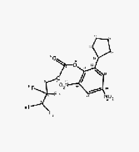 O=C(OCC(F)(F)C(F)F)Oc1c(C2CCCC2)cc([N+](=O)[O-])cc1[N+](=O)[O-]